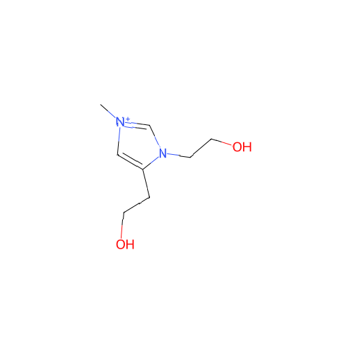 C[n+]1cc(CCO)n(CCO)c1